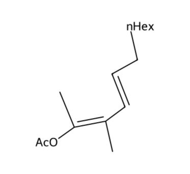 CCCCCCCC=CC(C)=C(C)OC(C)=O